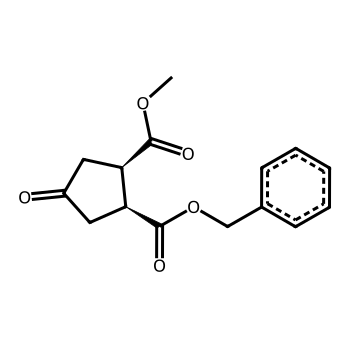 COC(=O)[C@@H]1CC(=O)C[C@@H]1C(=O)OCc1ccccc1